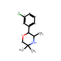 CC1NC(C)(C)COC1c1cccc(Cl)c1